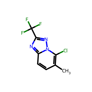 Cc1ccc2nc(C(F)(F)F)nn2c1Cl